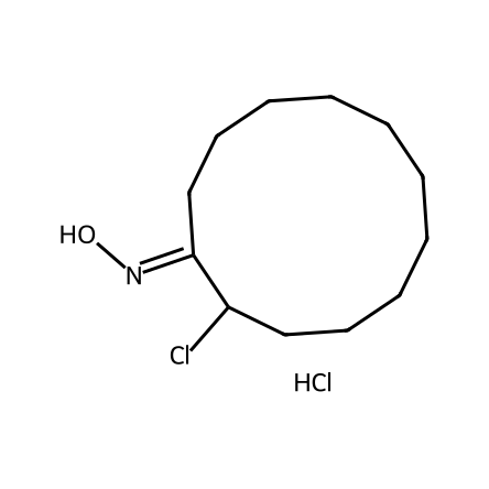 Cl.ON=C1CCCCCCCCCCC1Cl